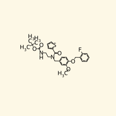 COc1cc(CN(CCNC(=O)OC(C)(C)C)C(=O)c2cccs2)ccc1OCc1ccccc1F